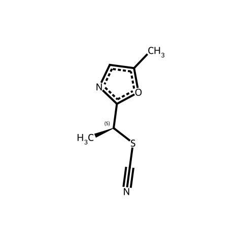 Cc1cnc([C@H](C)SC#N)o1